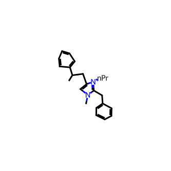 CCC[n+]1c(CC(C)c2ccccc2)cn(C)c1Cc1ccccc1